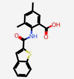 Cc1cc(C)c(NC(=O)c2cc3ccccc3s2)c(C(=O)O)c1